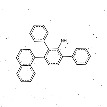 Nc1c(-c2ccccc2)ccc(-c2cccc3ccccc23)c1-c1ccccc1